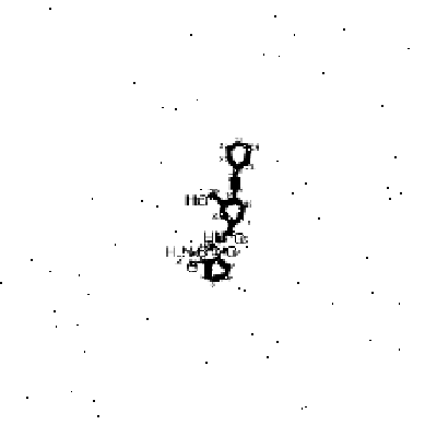 NS(=O)(=O)c1ccccc1S(=O)(=O)NC(=O)c1ccc(C#CC2CCCCC2)c(CO)c1